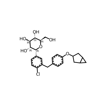 OC[C@H]1O[C@H](c2ccc(Cl)c(Cc3ccc(OC4CC5CC5C4)cc3)c2)[C@H](O)[C@@H](O)[C@@H]1O